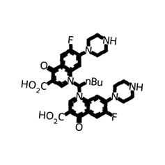 CCCCC(n1cc(C(=O)O)c(=O)c2cc(F)c(N3CCNCC3)cc21)n1cc(C(=O)O)c(=O)c2cc(F)c(N3CCNCC3)cc21